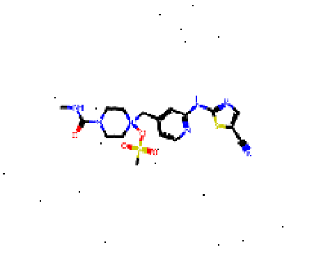 CNC(=O)N1CC[N+](Cc2ccnc(Nc3ncc(C#N)s3)c2)(OS(C)(=O)=O)CC1